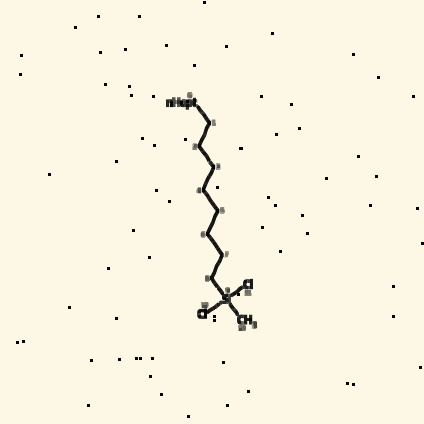 CCCCCCCCCCCCCCC[Si](C)(Cl)Cl